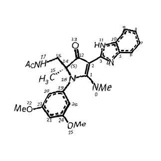 CNC1=C(c2nc3ccccc3[nH]2)C(=O)[C@](C)(CNC(C)=O)N1c1cc(OC)cc(OC)c1